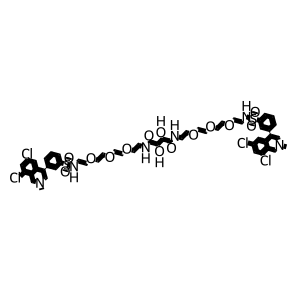 CN1Cc2c(Cl)cc(Cl)cc2[C@H](c2cccc(S(=O)(=O)NCCOCCOCCOCCNC(=O)C(O)C(O)C(=O)NCCOCCOCCOCCNS(=O)(=O)c3cccc([C@@H]4CN(C)Cc5c(Cl)cc(Cl)cc54)c3)c2)C1